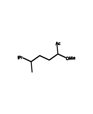 COC(CCC(C)C(C)C)C(C)=O